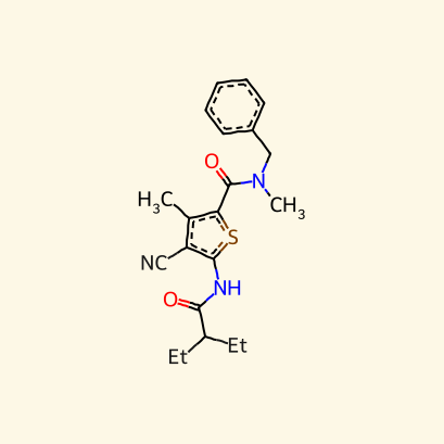 CCC(CC)C(=O)Nc1sc(C(=O)N(C)Cc2ccccc2)c(C)c1C#N